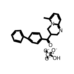 CC1=CC=CC2=NCC(C(=O)c3ccc(-c4ccccc4)cc3)CN12.[O-][Cl+3]([O-])([O-])O